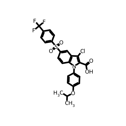 CC(C)Oc1ccc(-n2c(C(=O)O)c(Cl)c3cc(S(=O)(=O)c4ccc(C(F)(F)F)cc4)ccc32)cc1